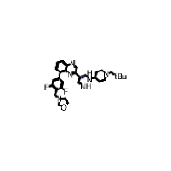 CC(C)(C)CN1CCC(N/C=C(\C=N)c2cnc3cccc(-c4cc(F)c(CN5CCOC5)c(F)c4)c3n2)CC1